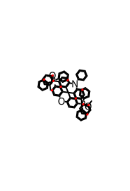 Cc1ccccc1-c1ccc2c(c1)C1(c3cc(P(=O)(c4ccccc4)c4ccccc4)ccc3Oc3ccc(P(=O)(c4ccccc4)c4ccccc4)cc31)c1cc(-c3ccccc3C)ccc1N2c1ccccc1